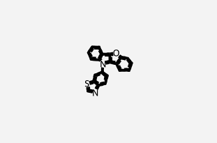 c1ccc2c(c1)oc1c3ccccc3n(-c3ccc4ncsc4c3)c21